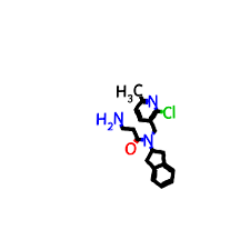 Cc1ccc(CN(C(=O)CCN)C2Cc3ccccc3C2)c(Cl)n1